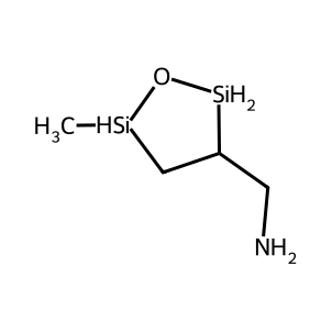 C[SiH]1CC(CN)[SiH2]O1